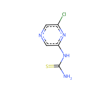 NC(=S)Nc1cncc(Cl)n1